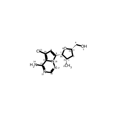 C[C@H]1C[C@@H](CO)O[C@H]1c1cc(Cl)c2c(N)ncnn12